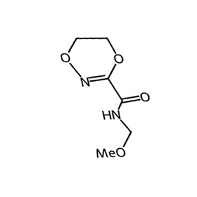 COCNC(=O)C1=NOCCO1